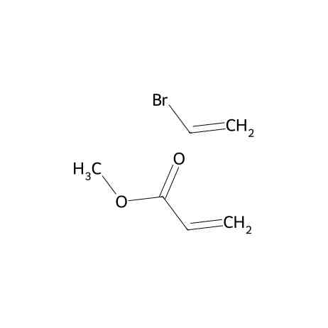 C=CBr.C=CC(=O)OC